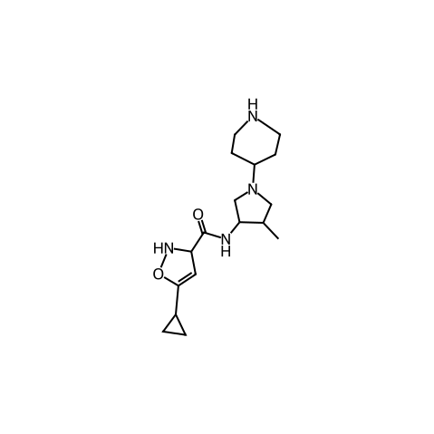 CC1CN(C2CCNCC2)CC1NC(=O)C1C=C(C2CC2)ON1